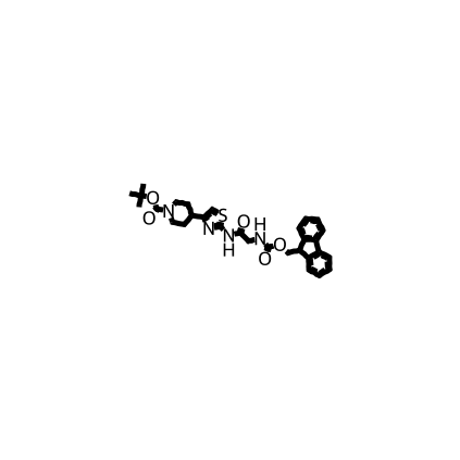 CC(C)(C)OC(=O)N1CCC(c2csc(NC(=O)CNC(=O)OCC3c4ccccc4-c4ccccc43)n2)CC1